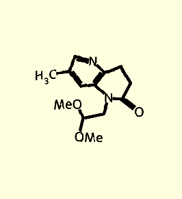 COC(CN1C(=O)CCc2ncc(C)cc21)OC